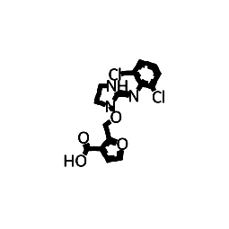 O=C(O)c1ccoc1CON1CCNC1=Nc1c(Cl)cccc1Cl